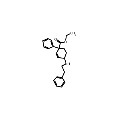 CCOC(=O)C1(c2ccccc2)C=CC(NCCc2ccccc2)CC1